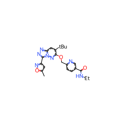 CCNC(=O)c1ccc(COc2nn3c(-c4cc(C)on4)nnc3cc2C(C)(C)C)nc1